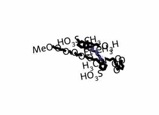 CC[N+]1=C(/C=C/C(C)=C/C=C2/N(CCCC(=O)ON3C(=O)CCC3=O)c3ccc(S(=O)(=O)O)cc3C2(C)CCOCCOCCOCCOCCOCCOC)C(C)(CCCS(=O)(=O)O)c2cc(S(=O)(=O)O)ccc21